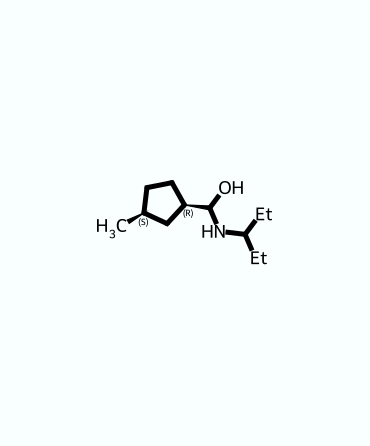 CCC(CC)NC(O)[C@@H]1CC[C@H](C)C1